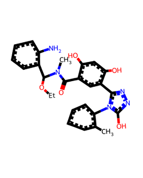 CCOC(c1ccccc1N)N(C)C(=O)c1cc(-c2nnc(O)n2-c2ccccc2C)c(O)cc1O